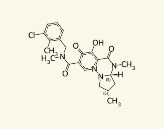 Cc1c(Cl)cccc1CN(C)C(=O)c1cn2c(c(O)c1=O)C(=O)N(C)[C@@H]1C[C@H](C)CN12